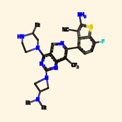 CCC1CN(c2nc(N3CC(N(CC)CC)C3)nc3c(C(F)(F)F)c(-c4ccc(F)c5sc(N)c(C#N)c45)ncc23)CCN1